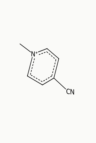 C[n+]1ccc(C#N)cc1